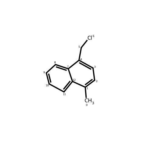 Cc1ccc(CCl)c2ccccc12